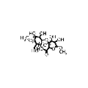 CO[C@@H]1OC(C(=O)O)[C@@](C)(O[C@@H]2OC(CO)[C@H](OC)[C@@H](O)C2O)[C@@H](O)C1O